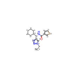 N#CCn1cc([C@@H](NC(=O)c2ccsc2)C2CCCCC2)nn1